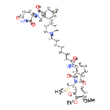 CCOc1cc(C(C[S+](C)[O-])N2C(=O)c3cccc(NC(=O)CCCCCCCN4CCC(c5cc(F)cc6c5CN(C5CCC(=O)NC5=O)C6=O)CC4)c3C2=O)ccc1OC